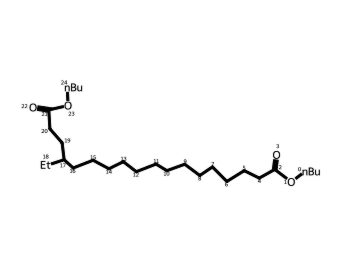 CCCCOC(=O)CCCCCCCCCCCCCC(CC)CCC(=O)OCCCC